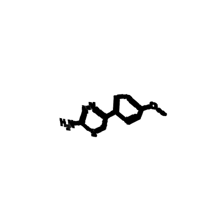 COc1ccc(C2=NN=C(N)SC2)cc1